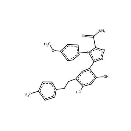 COc1ccc(-n2c(C(N)=O)nnc2-c2cc(CCc3ccc(C)cc3)c(O)cc2O)cc1